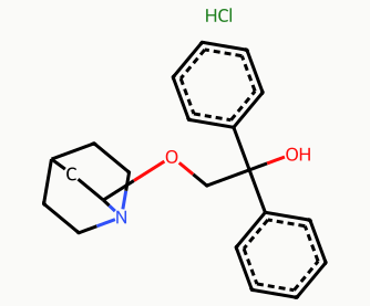 Cl.OC(COC1CC2CCN1CC2)(c1ccccc1)c1ccccc1